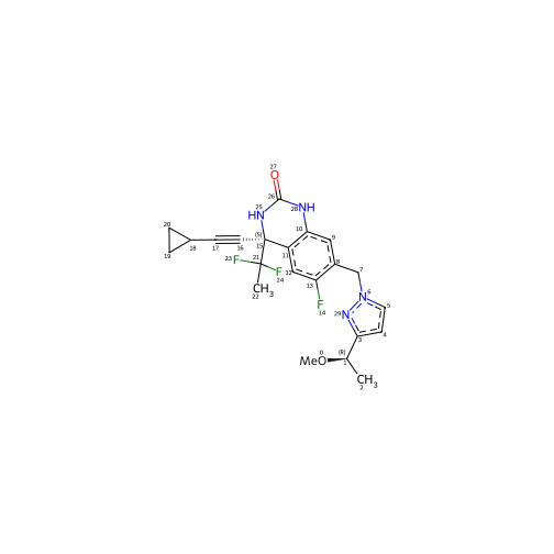 CO[C@H](C)c1ccn(Cc2cc3c(cc2F)[C@@](C#CC2CC2)(C(C)(F)F)NC(=O)N3)n1